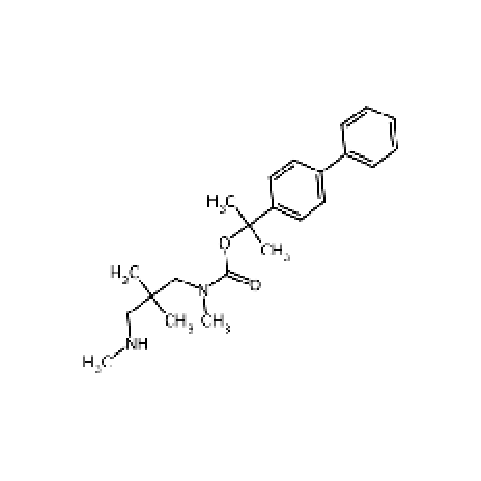 CNCC(C)(C)CN(C)C(=O)OC(C)(C)c1ccc(-c2ccccc2)cc1